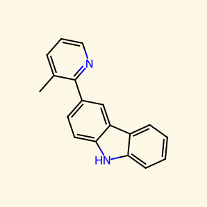 Cc1cccnc1-c1ccc2[nH]c3ccccc3c2c1